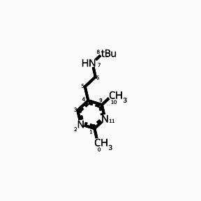 Cc1ncc(CCNC(C)(C)C)c(C)n1